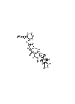 COc1ccccc1CN1CCC(N(C)c2cc(F)c(S(=O)(=O)Nc3cscn3)cc2C)C1